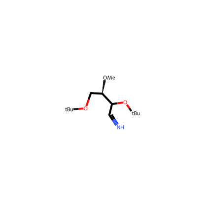 CO[C@H](COC(C)(C)C)C(C=N)OC(C)(C)C